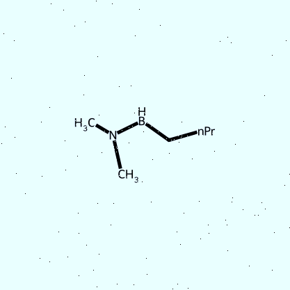 C[CH]CCBN(C)C